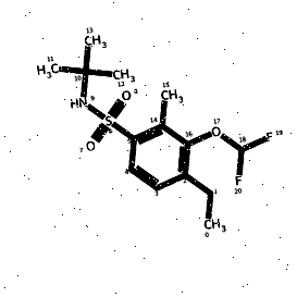 CCc1ccc(S(=O)(=O)NC(C)(C)C)c(C)c1OC(F)F